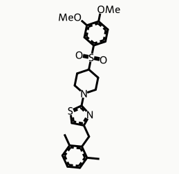 COc1ccc(S(=O)(=O)C2CCN(c3nc(Cc4c(C)cccc4C)cs3)CC2)cc1OC